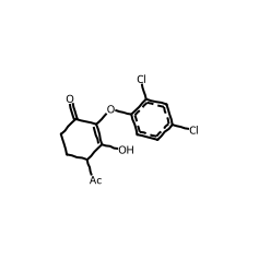 CC(=O)C1CCC(=O)C(Oc2ccc(Cl)cc2Cl)=C1O